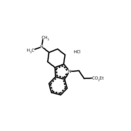 CCOC(=O)CCn1c2c(c3ccccc31)CC(N(C)C)CC2.Cl